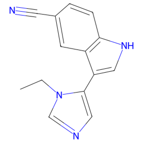 CCn1cncc1-c1c[nH]c2ccc(C#N)cc12